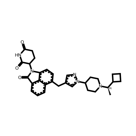 C[C@H](C1CCC1)N1CCC(n2cc(Cc3ccc4c5c(cccc35)C(=O)N4C3CCC(=O)NC3=O)cn2)CC1